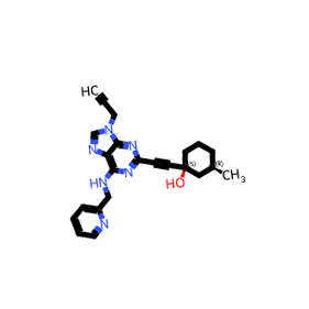 C#CCn1cnc2c(NCc3ccccn3)nc(C#C[C@]3(O)CCC[C@@H](C)C3)nc21